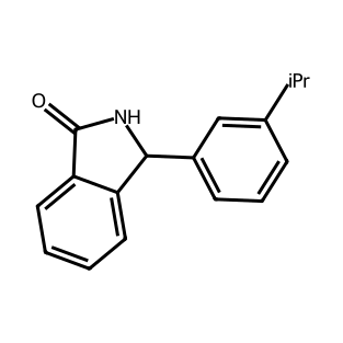 CC(C)c1cccc(C2NC(=O)c3ccccc32)c1